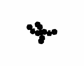 c1ccc(-c2ccc(-c3ccc4c(-c5ccc6ccccc6c5)c5cc(-c6ccc(-c7ccccc7)s6)ccc5c(-c5ccc6ccccc6c5)c4c3)s2)cc1